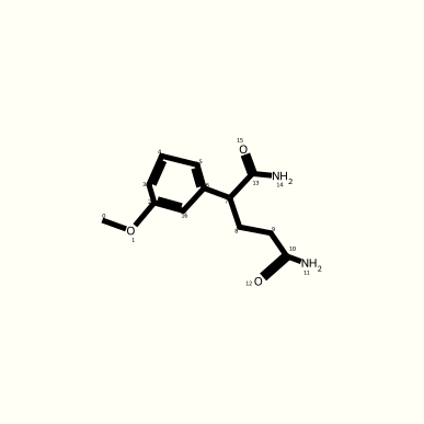 COc1cccc(C(CCC(N)=O)C(N)=O)c1